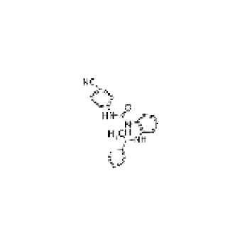 CC(Nc1ccccc1NC(=O)Nc1ccc(C#N)cc1)c1ccccc1